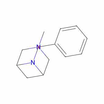 CN1CC2CC(C1)N2Cc1ccccc1